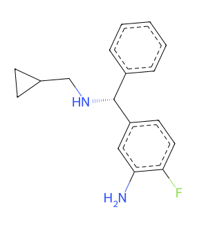 Nc1cc([C@H](NCC2CC2)c2ccccc2)ccc1F